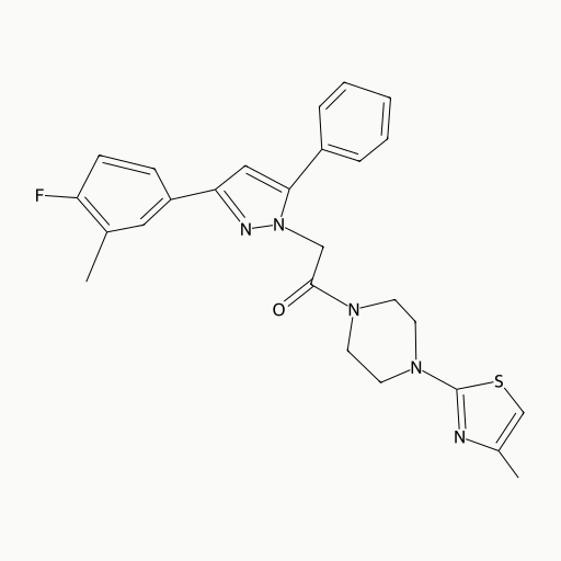 Cc1csc(N2CCN(C(=O)Cn3nc(-c4ccc(F)c(C)c4)cc3-c3ccccc3)CC2)n1